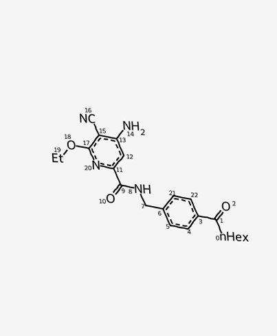 CCCCCCC(=O)c1ccc(CNC(=O)c2cc(N)c(C#N)c(OCC)n2)cc1